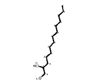 CCCCCCCCCCCCC(O)C[O]